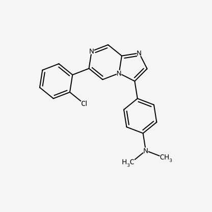 CN(C)c1ccc(-c2cnc3cnc(-c4ccccc4Cl)cn23)cc1